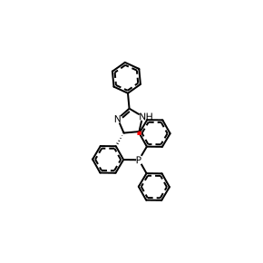 c1ccc(C2=N[C@@H](c3ccccc3P(c3ccccc3)c3ccccc3)CN2)cc1